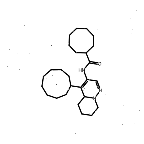 O=C(NC1=C(C2CCCCCCCC2)C2CCCCN2N=C1)C1CCCCCCC1